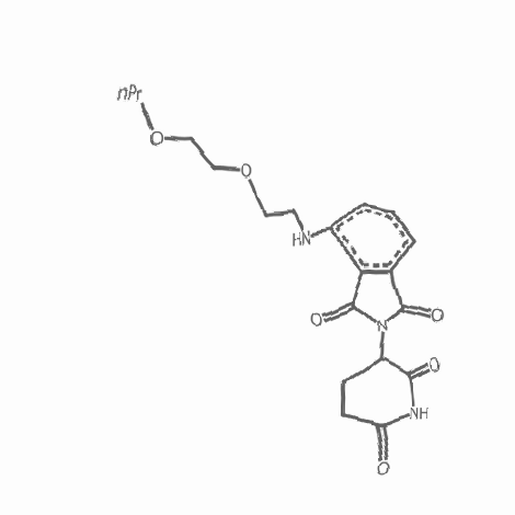 CCCOCCOCCNc1cccc2c1C(=O)N(C1CCC(=O)NC1=O)C2=O